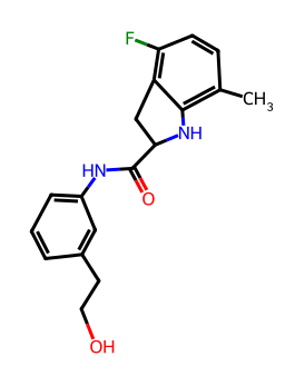 Cc1ccc(F)c2c1NC(C(=O)Nc1cccc(CCO)c1)C2